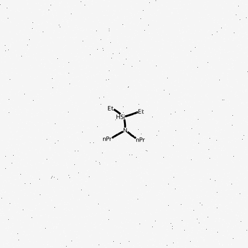 CCCN(CCC)[SiH](CC)CC